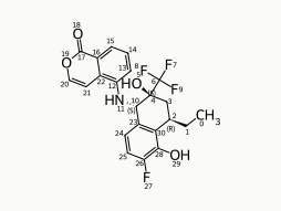 CC[C@@H]1C[C@@](O)(C(F)(F)F)[C@@H](Nc2cccc3c(=O)occc23)c2ccc(F)c(O)c21